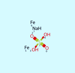 O=S(=O)(O)O.[Fe].[Fe].[NaH]